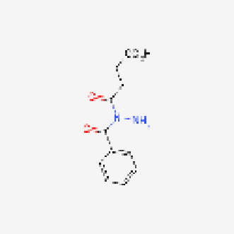 NN(C(=O)CCC(=O)O)C(=O)c1ccccc1